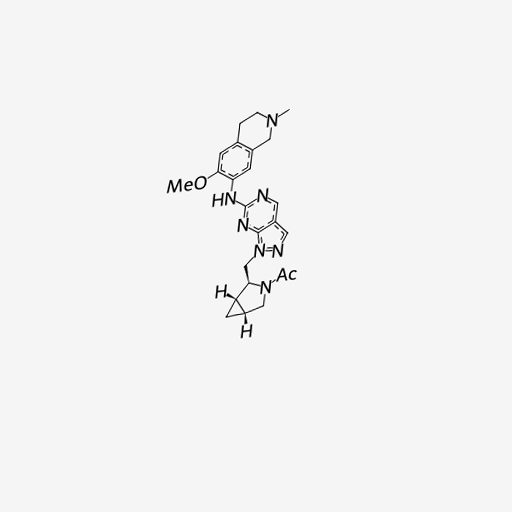 COc1cc2c(cc1Nc1ncc3cnn(C[C@@H]4[C@H]5C[C@H]5CN4C(C)=O)c3n1)CN(C)CC2